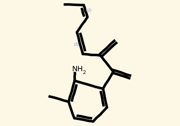 C=C(/C=C\C=C/C)C(=C)c1cccc(C)c1N